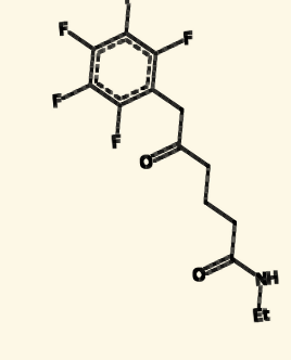 CCNC(=O)CCCC(=O)Cc1c(F)c(F)c(F)c(F)c1F